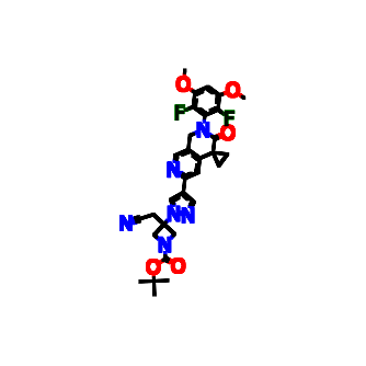 COc1cc(OC)c(F)c(N2Cc3cnc(-c4cnn(C5(CC#N)CN(C(=O)OC(C)(C)C)C5)c4)cc3C3(CC3)C2=O)c1F